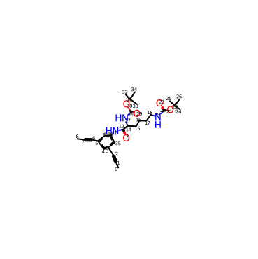 CC#Cc1cc(C#CC)cc(NC(=O)C(CCCCNC(=O)OC(C)(C)C)NC(=O)OC(C)(C)C)c1